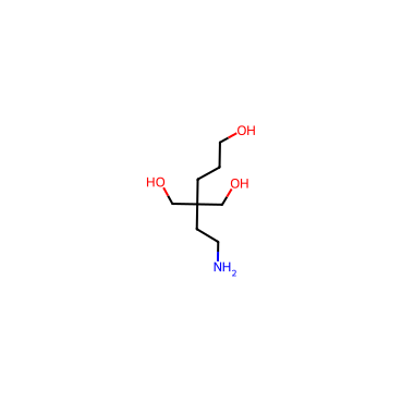 NCCC(CO)(CO)CCCO